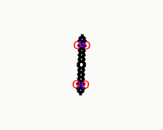 Cc1cc(C)c(-n2c(=O)c3cc4cc5cc6ccc7cc8cc9cc%10c(=O)n(-c%11c(C)cc(C)cc%11C)c(=O)c%10cc9cc8cc7ccc6cc5cc4cc3c2=O)c(C)c1